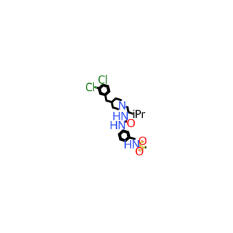 CC(C)C(CN1CCC(Cc2ccc(Cl)c(Cl)c2)CC1)NC(=O)Nc1cccc(CNS(C)(=O)=O)c1